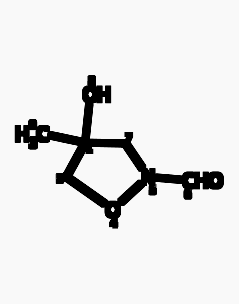 CC1(O)CON(C=O)C1